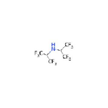 FC(F)(F)C(NC(C(F)(F)F)C(F)(F)F)C(F)(F)F